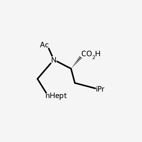 CCCCCCCCN(C(C)=O)[C@@H](CC(C)C)C(=O)O